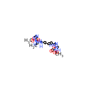 C=C1C[C@@H](c2ncc(-c3ccc(-c4ccc5cc(-c6cnc([C@@H]7CCCN7C(=O)[C@@H](NC(=O)OC)C7CCOCC7)[nH]6)ccc5c4)cc3)[nH]2)N(C(=O)C(NC(=O)OC)c2cnccn2)C1